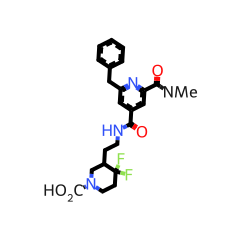 CNC(=O)c1cc(C(=O)NCCC2CN(C(=O)O)CCC2(F)F)cc(Cc2ccccc2)n1